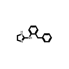 c1ccc(Cc2ccccc2NC2=NCCN2)cc1